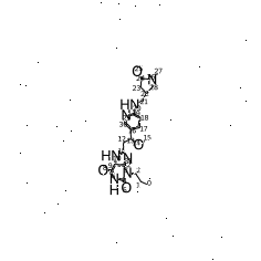 CCCn1c(=O)[nH]c(=O)c2[nH]c(CC(OC)c3ccc(NCC4CC(=O)N(C)C4)nc3)nc21